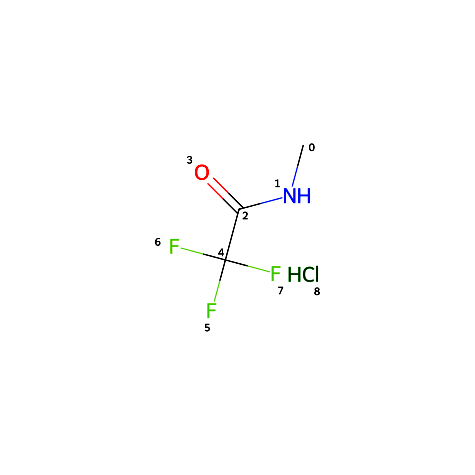 CNC(=O)C(F)(F)F.Cl